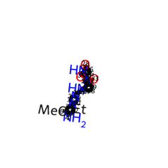 CCc1cc(N)c(OC)cc1N1CCN(CCNc2cccc3c2CN(C2CCC(=O)NC2=O)C3=O)CC1